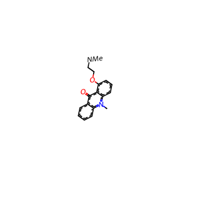 CNCCOc1cccc2c1c(=O)c1ccccc1n2C